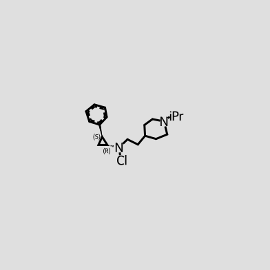 CC(C)N1CCC(CCN(Cl)[C@@H]2C[C@H]2c2ccccc2)CC1